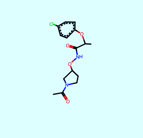 CC(=O)N1CCC(ONC(=O)C(C)Oc2ccc(Cl)cc2)C1